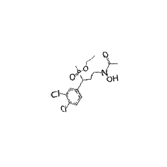 CCOP(C)(=O)C(CCN(O)C(C)=O)c1ccc(Cl)c(Cl)c1